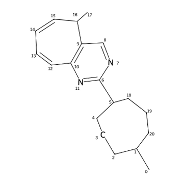 CC1CCCC(c2ncc3c(n2)C=CC=CC3C)CCC1